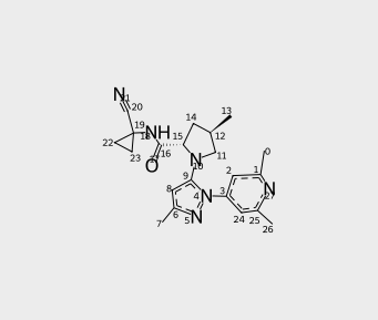 Cc1cc(-n2nc(C)cc2N2C[C@H](C)C[C@H]2C(=O)NC2(C#N)CC2)cc(C)n1